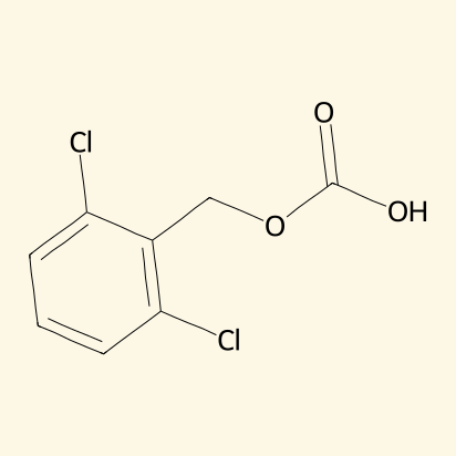 O=C(O)OCc1c(Cl)cccc1Cl